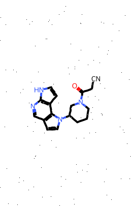 N#CCC(=O)N1CCCC(n2ccc3cnc4[nH]ccc4c32)C1